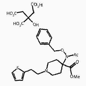 COC(=O)C1(N(OCc2ccccc2)C(C)=O)CCN(CCc2cccs2)CC1.O=C(O)CC(O)(CC(=O)O)C(=O)O